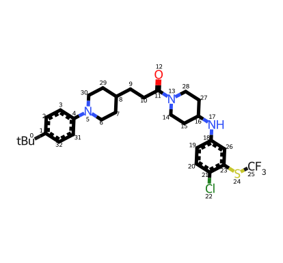 CC(C)(C)c1ccc(N2CCC(CCC(=O)N3CCC(Nc4ccc(Cl)c(SC(F)(F)F)c4)CC3)CC2)cc1